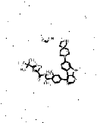 Cc1cc(-c2ncnc3[nH]c4cc(N5CCC6(CCNC6)CC5)ccc4c23)ccc1[C@@H](C)NC(=O)c1nc(C(C)(C)C)no1.O=CO